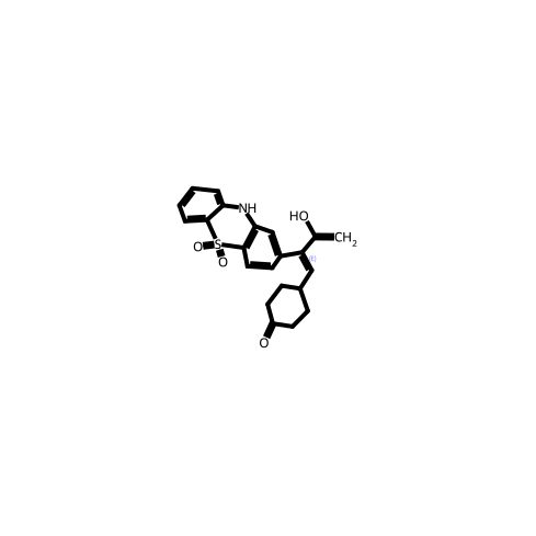 C=C(O)/C(=C/C1CCC(=O)CC1)c1ccc2c(c1)Nc1ccccc1S2(=O)=O